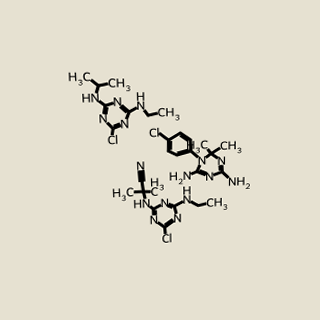 CC1(C)N=C(N)N=C(N)N1c1ccc(Cl)cc1.CCNc1nc(Cl)nc(NC(C)(C)C#N)n1.CCNc1nc(Cl)nc(NC(C)C)n1